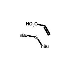 C=CC(=O)O.CCCCSCCCC